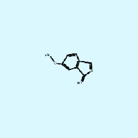 CCCOc1ccc2c(c1)C(=N)N=C2